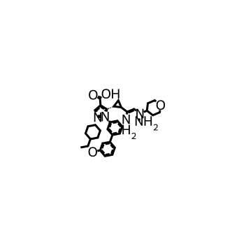 CC(Oc1cccc(-c2cccc(-n3ncc(C(=O)O)c3[C@@H]3CC3/C(N)=C/N(N)C3CCOCC3)c2)c1)C1CCCCC1